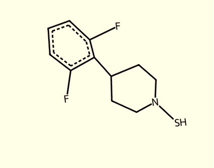 Fc1cccc(F)c1C1CCN(S)CC1